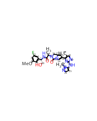 COc1cc(F)cc([C@@H](CO)NC(=O)[C@H](C)N2Cc3cc(-c4nc(Nc5ccnn5C)ncc4C)cn3C2=O)c1